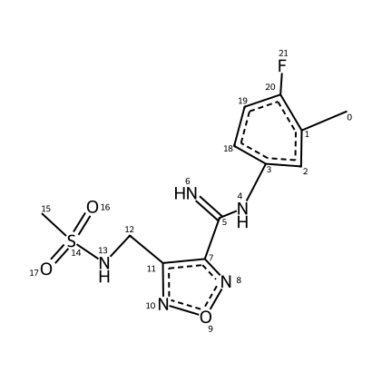 Cc1cc(NC(=N)c2nonc2CNS(C)(=O)=O)ccc1F